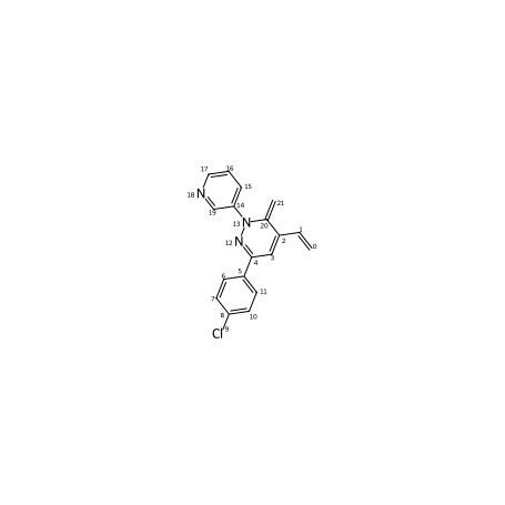 C=CC1=CC(c2ccc(Cl)cc2)=NN(c2cccnc2)C1=C